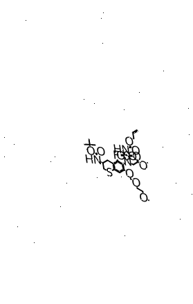 C=CCOC(=O)NS(=O)(=O)N(CC(=O)OC)c1c(OCOCCOC)cc2c(c1F)C[C@H](NC(=O)OC(C)(C)C)CS2